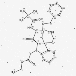 CCOC(=O)CC1c2ccccc2C2(CCNCC2)[C@@H]1C(=O)[C@@H](COCc1ccccc1)NC(=O)C(C)(C)N